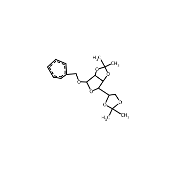 CC1(C)OCC(C2OC(OCc3ccccc3)C3OC(C)(C)OC23)O1